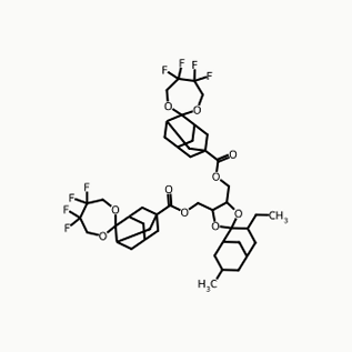 CCC1CC2CC(C)CC(C2)C12OC(COC(=O)C13CC4CC(C1)C1(OCC(F)(F)C(F)(F)CO1)C(C4)C3)C(COC(=O)C13CC4CC(C1)C1(OCC(F)(F)C(F)(F)CO1)C(C4)C3)O2